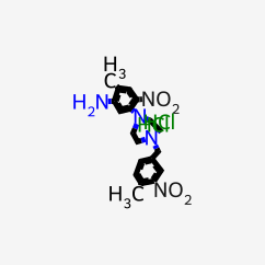 Cc1cc([N+](=O)[O-])c(N2CCN(Cc3ccc(C)c([N+](=O)[O-])c3)CC2)cc1N.Cl.Cl